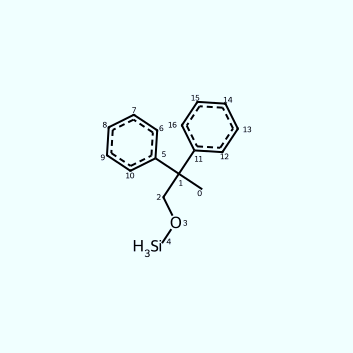 CC(CO[SiH3])(c1ccccc1)c1ccccc1